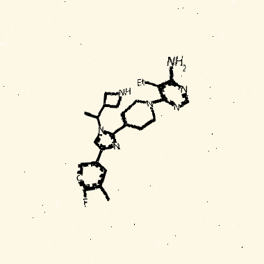 CCc1c(N)ncnc1N1CCC(c2nc(-c3ccc(F)c(C)c3)cn2C(C)C2CNC2)CC1